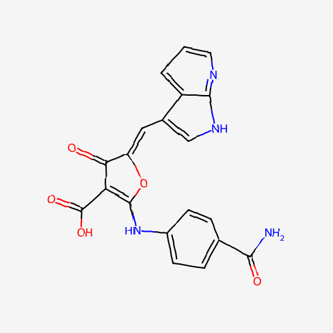 NC(=O)c1ccc(NC2=C(C(=O)O)C(=O)/C(=C/c3c[nH]c4ncccc34)O2)cc1